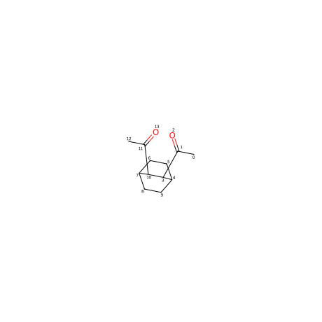 CC(=O)C1C2CCC(CC2)C1C(C)=O